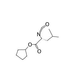 CC(C)C[C@@H](N=C=O)C(=O)OC1CCCC1